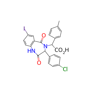 Cc1ccc(C(C(=O)O)N2C(=O)c3cc(I)ccc3NC(=O)C2c2ccc(Cl)cc2)cc1